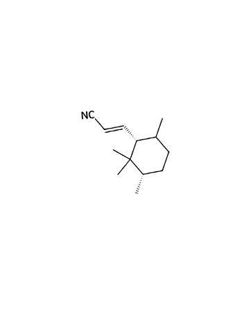 CC1CC[C@H](C)C(C)(C)[C@@H]1C=CC#N